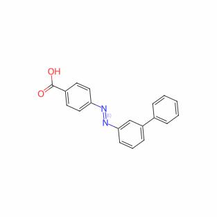 O=C(O)c1ccc(/N=N/c2cccc(-c3ccccc3)c2)cc1